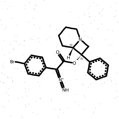 N=[N+]=C(C(=O)O[C@@]1(c2ccccc2)CN2CCCC[C@H]21)c1ccc(Br)cc1